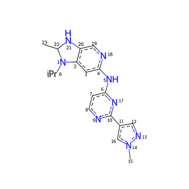 CC(C)N1c2cc(Nc3ccnc(-c4cnn(C)c4)n3)ncc2NC1C